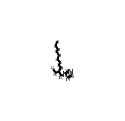 CCCCCCCCCC(CC)Cn1ccnc1